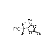 O=C1OC(F)C(C(F)(F)C(F)(F)F)O1